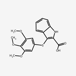 COc1cc(Sc2c(C(=O)O)[nH]c3ccccc23)cc(OC)c1OC